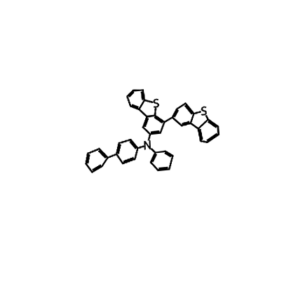 c1ccc(-c2ccc(N(c3ccccc3)c3cc(-c4ccc5sc6ccccc6c5c4)c4sc5ccccc5c4c3)cc2)cc1